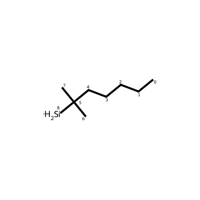 CCCCCC(C)(C)[SiH2]